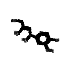 COc1cc(N(N)/C=C(\N)CO)ncc1C#N